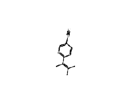 [C-]#[N+]c1ccc(C(C)=C(C)C)nc1